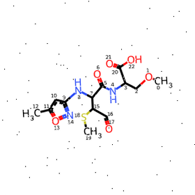 COCC(NC(=O)C(Nc1cc(C)on1)C(C=O)SC)C(=O)O